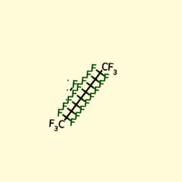 FC(F)(F)C(F)(F)C(F)(F)C(F)(F)C(F)(F)C(F)(F)C(F)(F)C(F)(F)C(F)(F)C(F)(F)F.[C]F